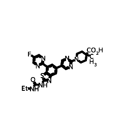 CCNC(=O)Nc1nc2cc(-c3cnc(N4CCC(C)(C(=O)O)CC4)nc3)cc(-c3ncc(F)cn3)c2s1